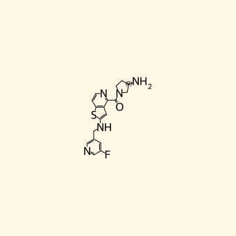 N[C@@H]1CCN(C(=O)c2nccc3sc(NCc4cncc(F)c4)cc23)C1